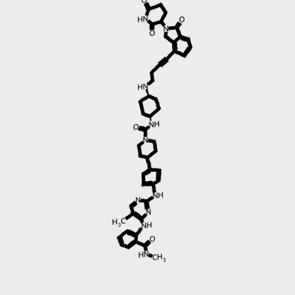 CNC(=O)c1ccccc1Nc1nc(Nc2ccc(C3CCN(C(=O)N[C@H]4CC[C@H](NCCC#Cc5cccc6c5CN(C5CCC(=O)NC5=O)C6=O)CC4)CC3)cc2)ncc1C